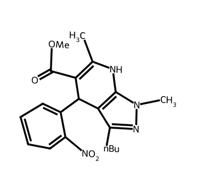 CCCCc1nn(C)c2c1C(c1ccccc1[N+](=O)[O-])C(C(=O)OC)=C(C)N2